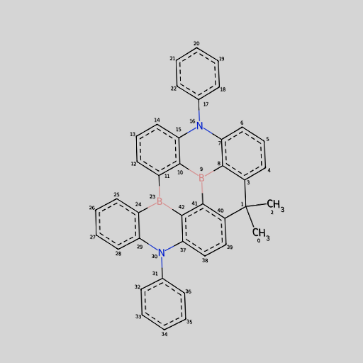 CC1(C)c2cccc3c2B2c4c(cccc4N3c3ccccc3)B3c4ccccc4N(c4ccccc4)c4ccc1c2c43